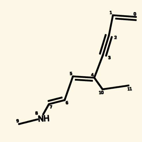 C=CC#C/C(=C/C=C/NC)CC